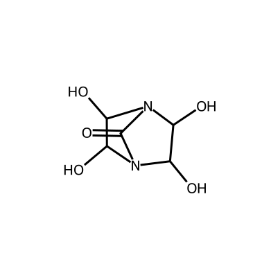 O=C1N2C(O)C(O)N1C(O)C2O